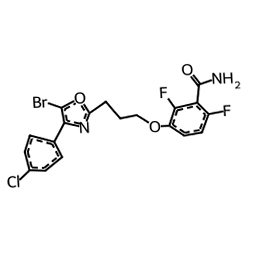 NC(=O)c1c(F)ccc(OCCCc2nc(-c3ccc(Cl)cc3)c(Br)o2)c1F